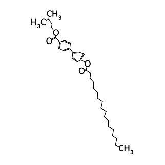 CCCCCCCCCCCCCCCCCC(=O)Oc1ccc(-c2ccc(C(=O)OCCC(C)C)cc2)cc1